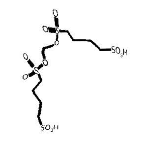 O=S(=O)(O)CCCCS(=O)(=O)OCOS(=O)(=O)CCCCS(=O)(=O)O